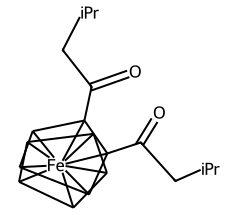 CC(C)CC(=O)[C]12[CH]3[CH]4[CH]5[C]1(C(=O)CC(C)C)[Fe]43521678[CH]2[CH]1[CH]6[CH]7[CH]28